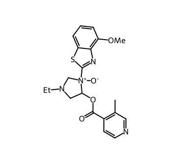 CCN1CC(OC(=O)c2ccncc2C)[N+]([O-])(c2nc3c(OC)cccc3s2)C1